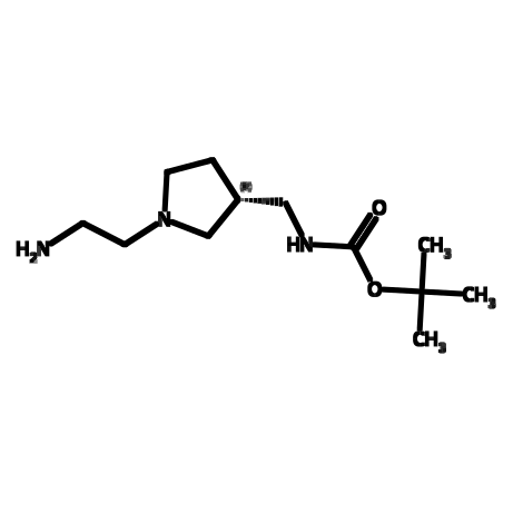 CC(C)(C)OC(=O)NC[C@H]1CCN(CCN)C1